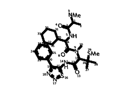 CNC(C)C(=O)NC(C(=O)N(C)C(C(=O)Nc1snnc1-c1ccccc1)C(C)(C)SC)C1CCCCC1